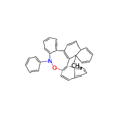 CC12C=CC=CC1C=Cc1c2c2c(ccc3ccccc32)on(-c2ccccc2)c2ccccc12